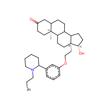 CC(C)CCN1CCCCC1c1cccc(OCC[C@]23CCC4C(CCC5CC(=O)CC[C@@]54C)C2CC[C@@H]3O)c1